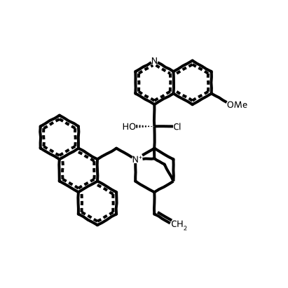 C=CC1C[N+]2(Cc3c4ccccc4cc4ccccc34)CCC1CC2[C@](O)(Cl)c1ccnc2ccc(OC)cc12